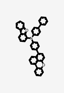 c1ccc(-c2ccc(N(c3ccc(-c4ccc5c6c(cccc46)-c4ccccc4O5)cc3)c3cccc4c3oc3ccccc34)cc2)cc1